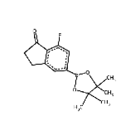 CC1(C)OB(c2cc(F)c3c(c2)CCC3=O)OC1(C)C